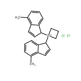 Cc1cccc2c1C=C[CH]2[Zr+2]1([CH]2C=Cc3c(C)cccc32)[CH2]C[CH2]1.[Cl-].[Cl-]